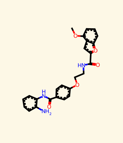 COc1cccc2oc(C(=O)NCCOc3ccc(C(=O)Nc4ccccc4N)cc3)cc12